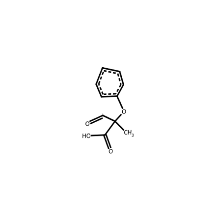 CC([C]=O)(Oc1ccccc1)C(=O)O